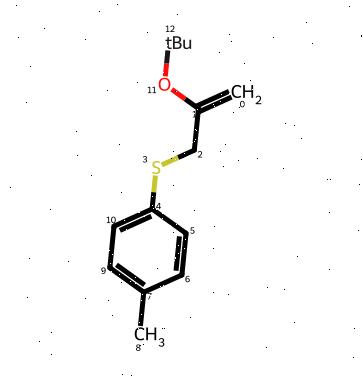 C=C(CSc1ccc(C)cc1)OC(C)(C)C